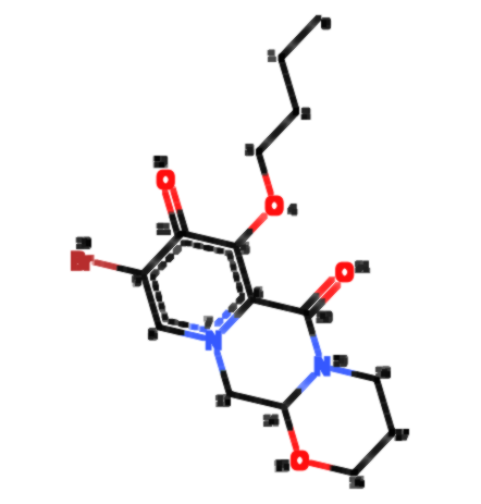 CCCCOc1c2n(cc(Br)c1=O)CC1OCCCN1C2=O